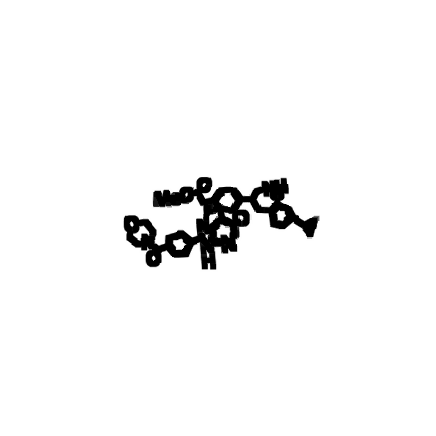 COC(=O)CC1=CC=C(C2CNOc3cc(C4CC4)ccc3C2)C(=O)C1(F)c1ccnc2[nH]c(-c3ccc(C(=O)N4CCOCC4)cc3)nc12